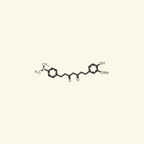 COc1cc(CCC(=O)CC(=O)CCc2ccc(N(C)C)cc2)ccc1O